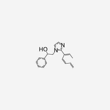 C=C/C=C\C(=C/C)c1nccn1CC(O)c1ccccc1